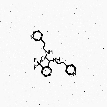 O=C(NCCc1cccnc1)C(NCCc1ccncc1)c1ccccc1C(F)(F)F